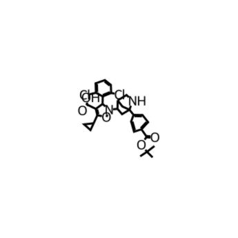 CC(C)(C)OC(=O)c1ccc(C23CC(CN2)C(N2OC(C4CC4)=C(C(=O)O)C2c2c(Cl)cccc2Cl)C3)cc1